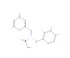 O=C1CSC(c2ccc(F)c(F)c2F)N1Cc1cc(F)cc(F)c1